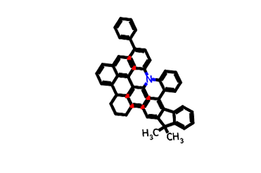 CC1(C)c2ccccc2-c2c(-c3ccccc3N(c3ccc(-c4ccccc4)cc3)c3ccccc3-c3cccc4cccc(C5CCCCC5)c34)cccc21